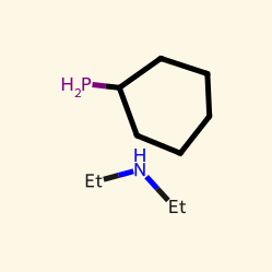 CCNCC.PC1CCCCC1